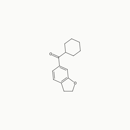 O=C(c1ccc2c(c1)OCC2)C1CCCCC1